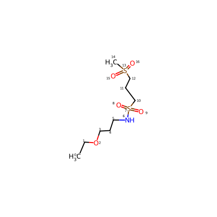 CCOCCCNS(=O)(=O)CCCS(C)(=O)=O